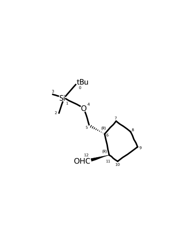 CC(C)(C)[Si](C)(C)OC[C@@H]1CCCC[C@H]1C=O